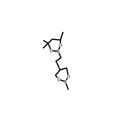 CB1OCC(CCB2OC(C)CC(C)(C)O2)CO1